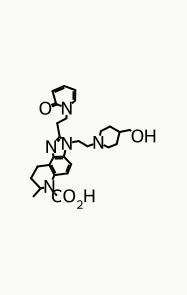 CC1CCc2c(ccc3c2nc(CCn2ccccc2=O)n3CCN2CCC(CO)CC2)N1C(=O)O